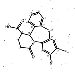 O=C(O)C1CCC(=O)N2c3cc(Br)c(F)cc3Oc3ccccc3C12